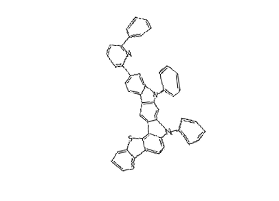 c1ccc(-c2cccc(-c3ccc4c5cc6c7c8sc9ccccc9c8ccc7n(-c7ccccc7)c6cc5n(-c5ccccc5)c4c3)n2)cc1